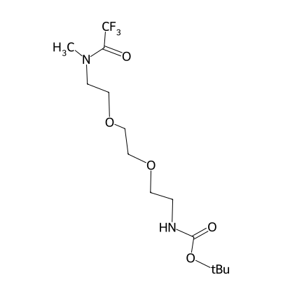 CN(CCOCCOCCNC(=O)OC(C)(C)C)C(=O)C(F)(F)F